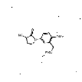 COCc1cc(N2CCC(C#N)C2=O)ccc1OC